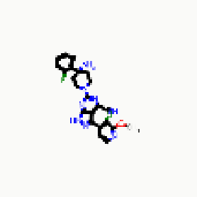 COc1nccc(-c2n[nH]c3nc(N4CCC(N)(c5ccccc5F)CC4)nc(C#N)c23)c1Cl